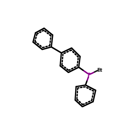 CCP(c1ccccc1)c1ccc(-c2ccccc2)cc1